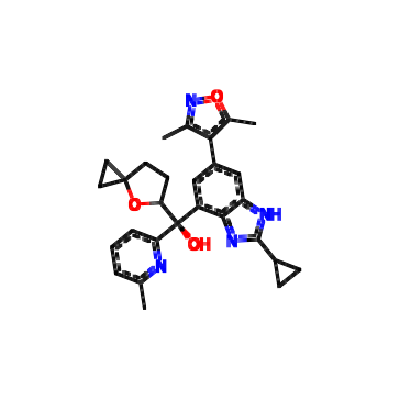 Cc1cccc([C@@](O)(c2cc(-c3c(C)noc3C)cc3[nH]c(C4CC4)nc23)C2CCC3(CC3)O2)n1